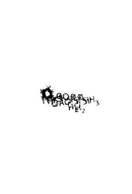 CC(=O)O[SiH](O[SiH2]O[SiH2]O[SiH2]O[SiH3])c1ccccc1